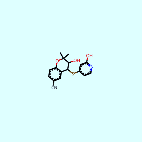 CC1(C)Oc2ccc(C#N)cc2C(Sc2ccnc(O)c2)C1O